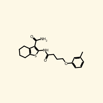 Cc1cccc(OCCCC(=O)Nc2sc3c(c2C(N)=O)CCCC3)c1